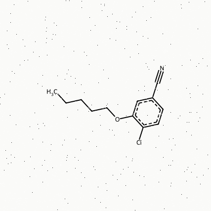 CCCCCOc1cc(C#N)ccc1Cl